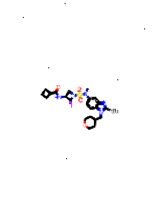 CN(c1ccc2c(c1)nc(C(C)(C)C)n2CC1CCOCC1)S(=O)(=O)N1CC(NC(=O)C2CCC2)C1I